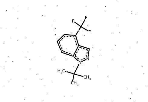 CC(C)(C)n1ncc2c(C(F)(F)F)cccc21